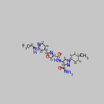 CC1CCC(n2cc(NC(=O)c3coc(-c4ccnc(NCC(F)(F)F)c4)n3)c(C(N)=O)n2)CC1